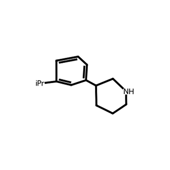 CC(C)c1cccc(C2CCCNC2)c1